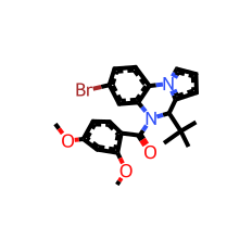 COc1ccc(C(=O)N2c3cc(Br)ccc3-n3cccc3C2C(C)(C)C)c(OC)c1